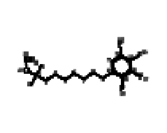 CC(C)(CCCCCCCc1cc(F)c(F)c(F)c1F)O[SiH3]